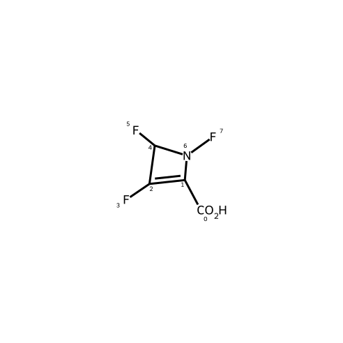 O=C(O)C1=C(F)C(F)N1F